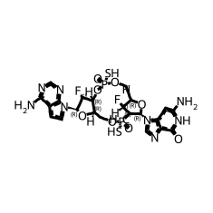 C[C@@]12[C@H](F)[C@@H](COP(=O)(S)O[C@H]3[C@H](F)[C@H](n4ccc5c(N)ncnc54)O[C@@H]3COP1(=O)S)O[C@H]2n1cnc2c(=O)[nH]c(N)cc21